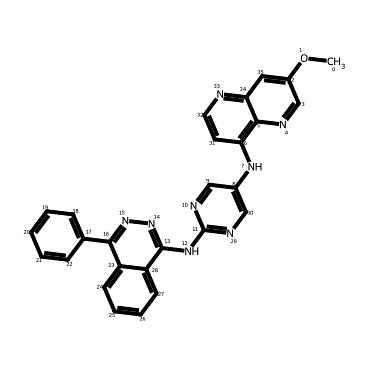 COc1cnc2c(Nc3cnc(Nc4nnc(-c5ccccc5)c5ccccc45)nc3)ccnc2c1